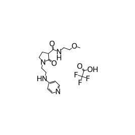 COCCNC(=O)C1CCN(CCNc2ccncc2)C1=O.O=C(O)C(F)(F)F